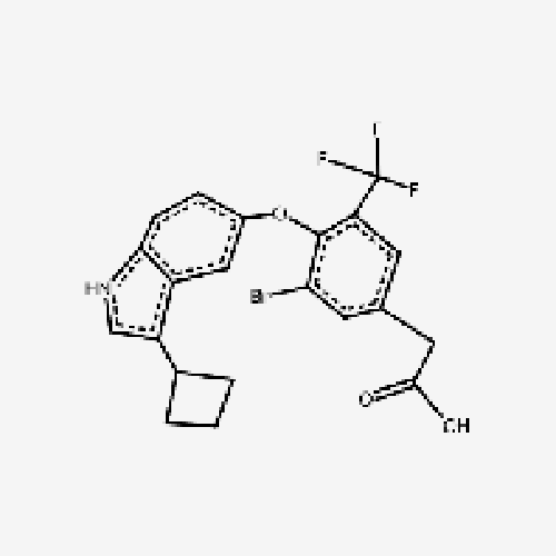 O=C(O)Cc1cc(Br)c(Oc2ccc3[nH]cc(C4CCC4)c3c2)c(C(F)(F)F)c1